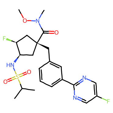 CON(C)C(=O)[C@@]1(Cc2cccc(-c3ncc(F)cn3)c2)C[C@H](F)[C@H](NS(=O)(=O)C(C)C)C1